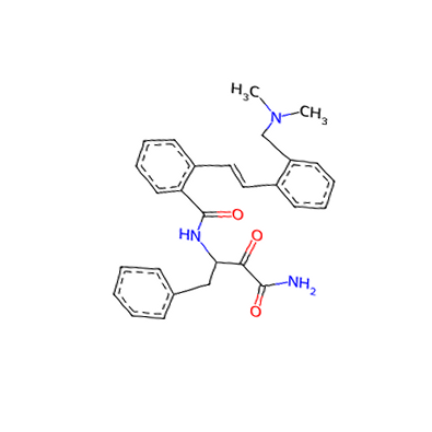 CN(C)Cc1ccccc1C=Cc1ccccc1C(=O)NC(Cc1ccccc1)C(=O)C(N)=O